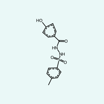 Cc1ccc(S(=O)(=O)NNC(=O)c2ccc(O)cc2)cc1